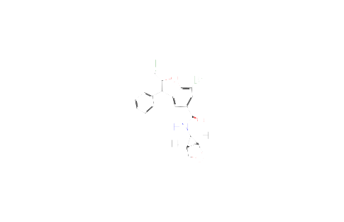 O=C(NC1[C@H]2COC[C@@H]12)c1cc(Br)c2c(c1)C(c1ccccc1)C(CF)O2